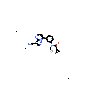 CCN(C(=O)C1CC1)c1cccc(-c2ccnc3c(C#N)cnn23)c1